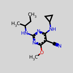 CCC(C)Nc1nc(NC2CC2)c(C#N)c(OC)n1